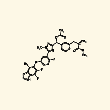 COC(=O)[C@H](C)Cc1cccc(C(OC(C)=O)c2nc(-c3cc(Oc4c(F)c(F)c5[nH]ccc5c4Br)ccc3F)n(C)n2)c1